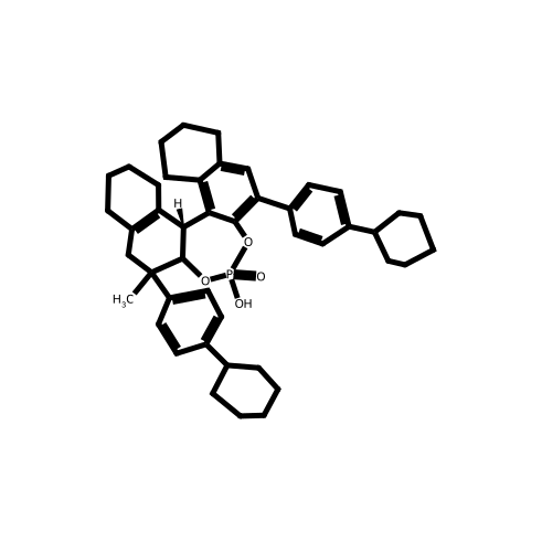 CC1(c2ccc(C3CCCCC3)cc2)CC2=C(CCCC2)[C@@H]2c3c4c(cc(-c5ccc(C6CCCCC6)cc5)c3OP(=O)(O)OC21)CCCC4